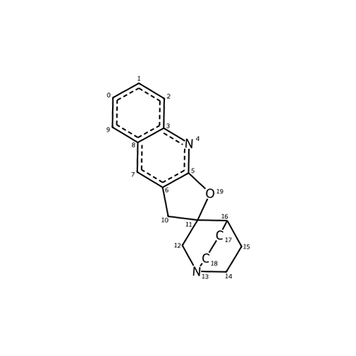 c1ccc2nc3c(cc2c1)CC1(CN2CCC1CC2)O3